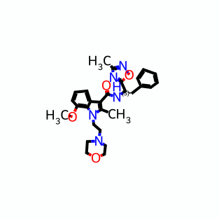 COc1cccc2c(C(=O)N[C@@H](Cc3ccccc3)c3nc(C)no3)c(C)n(CCN3CCOCC3)c12